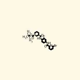 CC(C)(C)OC(=O)N1CCC[C@@H](C(=O)Nc2ccc(NC(=O)c3cccc(Br)n3)cc2F)C1